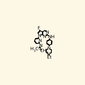 CCN1CCN(c2ccc(Nc3ncc4c(F)cn(-c5cccc(N=S(C)C)n5)c4n3)cc2)CC1